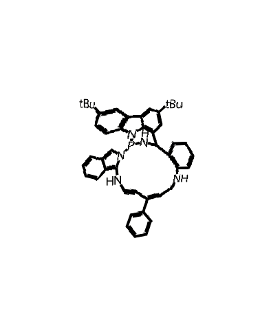 CC(C)(C)c1ccc2c(c1)c1cc(C(C)(C)C)cc3c1n2P1NC3C2=C(C=CCC2)NC/C=C(c2ccccc2)\C=C\Nc2c3ccccc3cn21